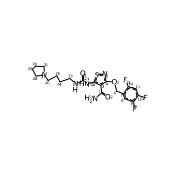 NC(=O)c1c(OCc2cc(F)c(F)cc2F)nsc1NC(=O)NCCCCN1CCCC1